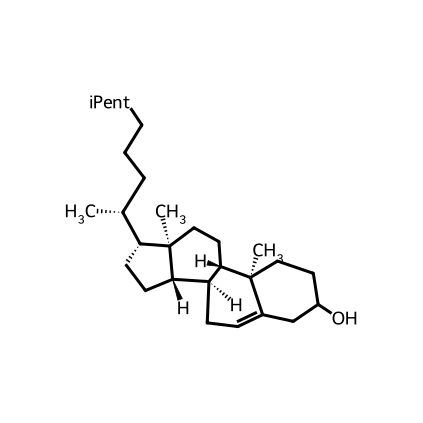 CCCC(C)CCC[C@@H](C)[C@H]1CC[C@H]2[C@@H]3CC=C4CC(O)CC[C@]4(C)[C@H]3CC[C@]12C